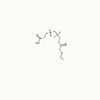 CCCCC(=O)CCC(C)(C)CC(C)(C)CCC(=O)O